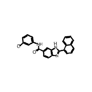 O=C(Nc1cccc(Cl)c1)c1ccc2nc(-c3cccc4ccccc34)[nH]c2c1